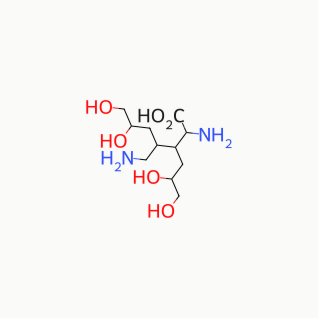 NCC(CC(O)CO)C(CC(O)CO)C(N)C(=O)O